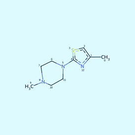 Cc1csc(N2CCN(C)CC2)n1